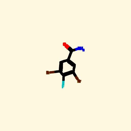 NC(=O)c1cc(Br)c(F)c(Br)c1